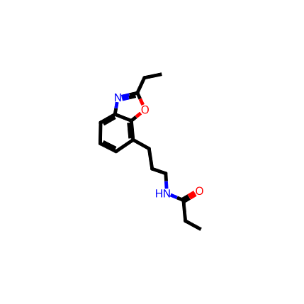 CCC(=O)NCCCc1cccc2nc(CC)oc12